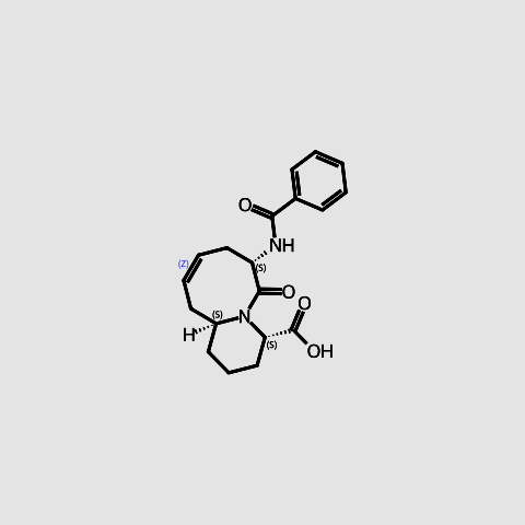 O=C(N[C@H]1C/C=C\C[C@@H]2CCC[C@@H](C(=O)O)N2C1=O)c1ccccc1